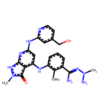 COc1c(Nc2cc(Nc3cc(CO)ccn3)nc3[nH]n(C)c(=O)c23)cccc1/C(N)=N/N(C)N